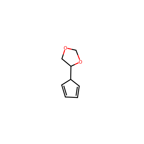 C1=CC(C2COCO2)C=C1